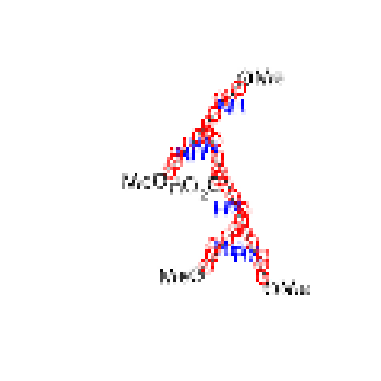 COCCOCCOCC(=O)NCCOCCOCC(COCCOCCNC(=O)COCCOCCOC)OCC(=O)NCCOCCOCC(COCCOCCNC(=O)COC(COCCOCCNC(=O)COCCOCCOC)COCCOCCNC(=O)COCCOCCOC)OCC(=O)O